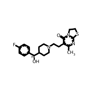 Cc1nc2n(c(=O)c1CCN1CCC([C@@H](O)c3ccc(F)cc3)CC1)CCS2